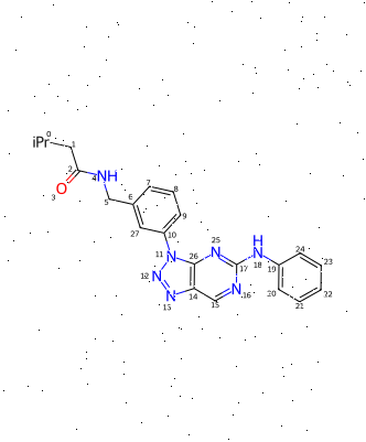 CC(C)CC(=O)NCc1cccc(-n2nnc3cnc(Nc4ccccc4)nc32)c1